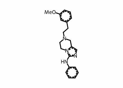 COc1cccc(CCN2CCn3c(cnc3Nc3ccccc3)C2)c1